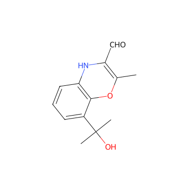 CC1=C(C=O)Nc2cccc(C(C)(C)O)c2O1